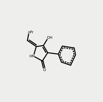 CCCC=C1NC(=O)C(c2ccccc2)=C1O